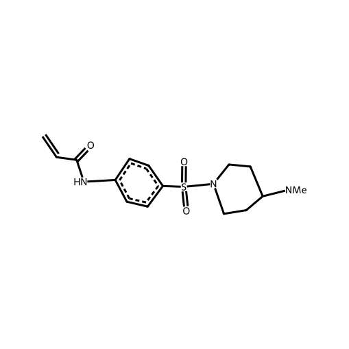 C=CC(=O)Nc1ccc(S(=O)(=O)N2CCC(NC)CC2)cc1